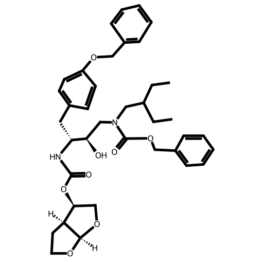 CCC(CC)CN(C[C@@H](O)[C@@H](Cc1ccc(OCc2ccccc2)cc1)NC(=O)O[C@H]1CO[C@H]2OCC[C@H]21)C(=O)OCc1ccccc1